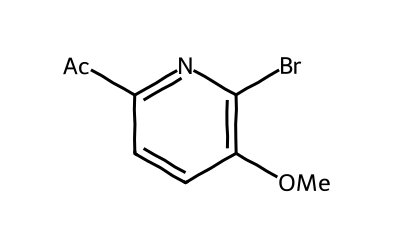 COc1ccc(C(C)=O)nc1Br